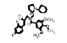 COc1cc(C(=O)N(CC(C)=Cc2ccc(F)cc2F)C[C@H]2CCCN2C2CCCCC2)cc(OC)c1OC